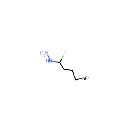 CCCCCCC(F)NN